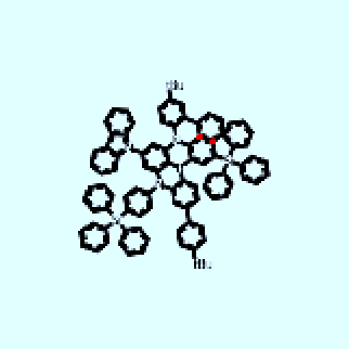 CC(C)(C)c1ccc(-c2ccc3c(c2)N(c2ccc([Si](c4ccccc4)(c4ccccc4)c4ccccc4)cc2)c2cc(-n4c5ccccc5c5ccccc54)cc4c2B3c2cc([Si](c3ccccc3)(c3ccccc3)c3ccccc3)ccc2N4c2ccc(C(C)(C)C)cc2-c2ccccc2)cc1